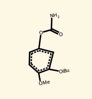 COc1ccc(OC(N)=O)cc1OCC(C)C